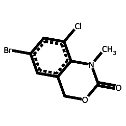 CN1C(=O)OCc2cc(Br)cc(Cl)c21